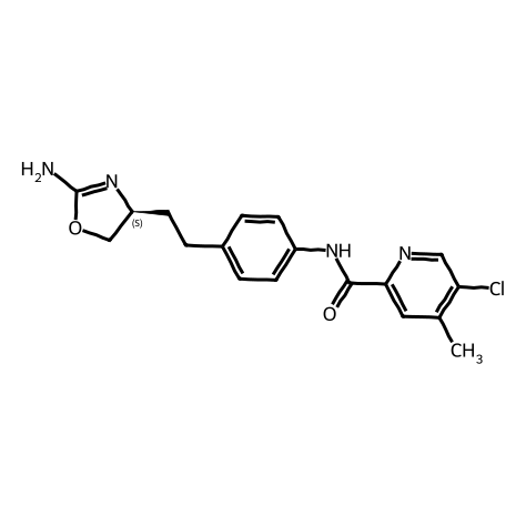 Cc1cc(C(=O)Nc2ccc(CC[C@H]3COC(N)=N3)cc2)ncc1Cl